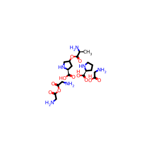 C[C@H](N)C(=O)OC1CN[C@H](C(=O)O)C1.NCC(=O)O.NCC(=O)OC(=O)CN.O=C(O)[C@@H]1CCCN1